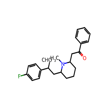 CN1C(CC(=O)c2ccccc2)CCCC1CC(C=O)c1ccc(F)cc1